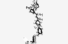 CS(=O)(=O)Nc1cc([C@@H](O)CNC2CCN(c3ccc(COCC(=O)O)cc3)CC2)ccc1O